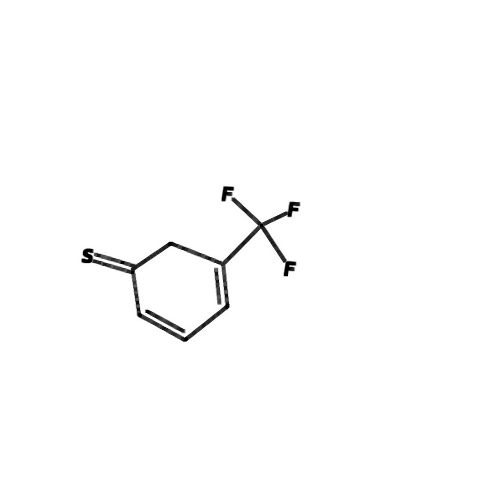 FC(F)(F)C1=CC=CC(=S)C1